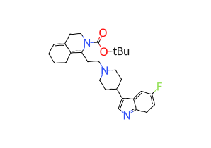 CC(C)(C)OC(=O)N1CCC2=CCCCC2=C1CCN1CCC(C2=CN=C3CC=C(F)C=C23)CC1